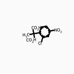 CC(C(=O)O)(C(=O)O)c1ccc([N+](=O)[O-])cc1Cl